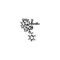 CCCCNC(=O)[C@H]1Cc2c(OC)cccc2N1C(=O)[C@@](N)(CC)C(=O)OCc1ccccc1